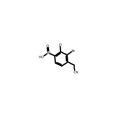 N#CCc1ccc([N+](=O)O)c(Cl)c1Br